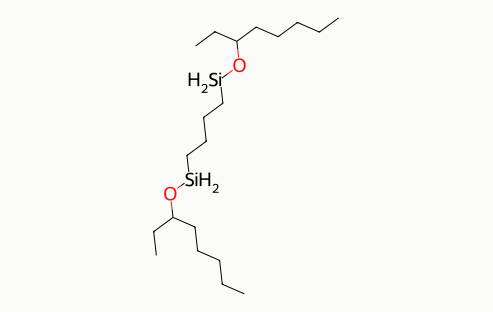 CCCCCC(CC)O[SiH2]CCCC[SiH2]OC(CC)CCCCC